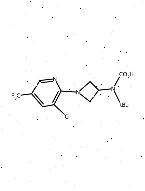 CC(C)(C)N(C(=O)O)C1CN(c2ncc(C(F)(F)F)cc2Cl)C1